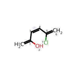 C=C(O)/C=C\C(=C)Cl